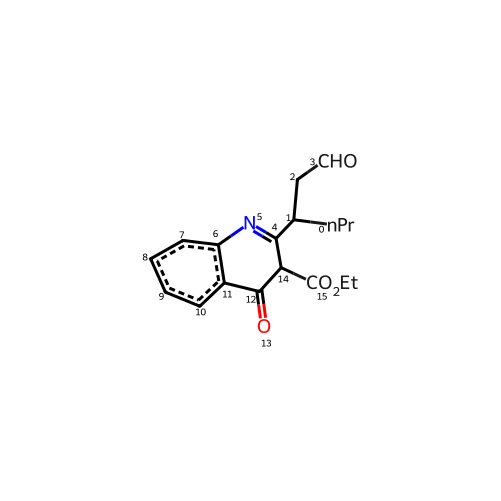 CCCC(CC=O)C1=Nc2ccccc2C(=O)C1C(=O)OCC